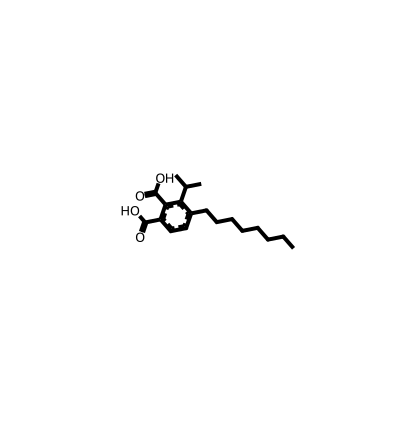 CCCCCCCCc1ccc(C(=O)O)c(C(=O)O)c1C(C)C